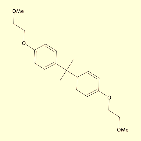 COCCOC1=CCC(C(C)(C)c2ccc(OCCOC)cc2)C=C1